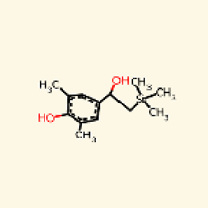 Cc1cc(C(O)C[Si](C)(C)C)cc(C)c1O